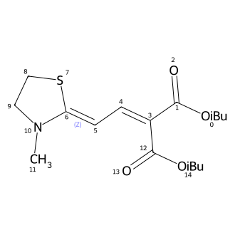 CC(C)COC(=O)C(=C/C=C1\SCCN1C)C(=O)OCC(C)C